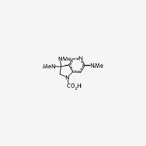 CNc1cc2c(cn1)C(NC)(NC)CN2C(=O)O